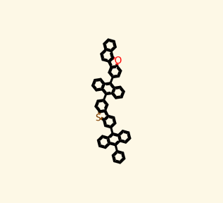 c1ccc(-c2c3ccccc3c(-c3ccc4c(c3)sc3ccc(-c5c6ccccc6c(-c6ccc7oc8c9ccccc9ccc8c7c6)c6ccccc56)cc34)c3ccccc23)cc1